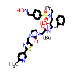 Cc1ccc(-c2nc(CN3CCN([C@H](C(=O)N[C@@H](Cc4ccccc4)[C@H](O)CN(CC(C)C)S(=O)(=O)c4ccc(C=NO)cc4)C(C)(C)C)C3=O)cs2)cn1